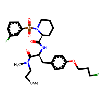 COCCN(C)C(=O)[C@H](Cc1ccc(OCCCF)cc1)NC(=O)[C@@H]1CCCCN1S(=O)(=O)c1cccc(F)c1